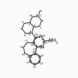 CN1CCC2C(CCCN2c2nc(N)nc3c2CCCc2ccccc2-3)C1